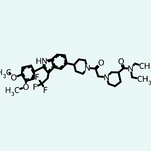 CCN(CC)C(=O)C1CCCN(CC(=O)N2CCC(c3ccc4[nH]c(-c5ccc(OC)c(OC)c5)c(CC(F)(F)F)c4c3)CC2)C1